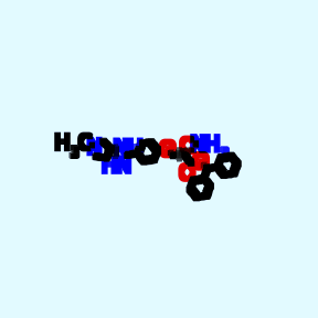 CN1CC[C@H](NC(=N)c2ccc(OC[C@H](ON)C(=O)OC(c3ccccc3)c3ccccc3)cc2)C1